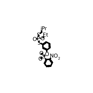 CCOP(=O)(SCC(C)C)Sc1cccc(OS(=O)(=O)c2ccccc2[N+](=O)[O-])c1